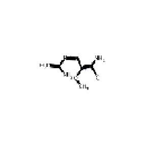 C=C(N)/N=C\C(OC)=C(/N)Cl